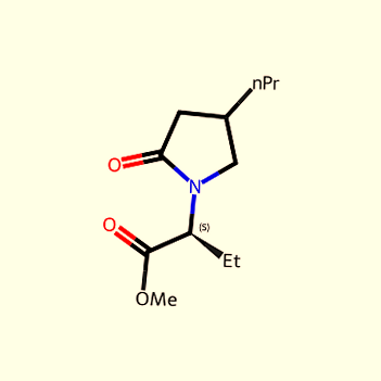 CCCC1CC(=O)N([C@@H](CC)C(=O)OC)C1